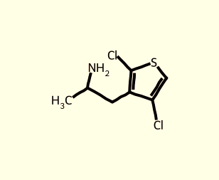 CC(N)Cc1c(Cl)csc1Cl